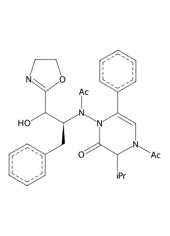 CC(=O)N1C=C(c2ccccc2)N(N(C(C)=O)[C@@H](Cc2ccccc2)C(O)C2=NCCO2)C(=O)C1C(C)C